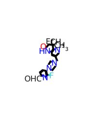 CCC1C(=O)Nc2cc(CN3CCN(c4ccc(C=O)nc4F)CC3)cnc2C1(C)C